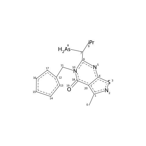 Cc1nsc2nc(C([AsH2])C(C)C)n(Cc3ccccc3)c(=O)c12